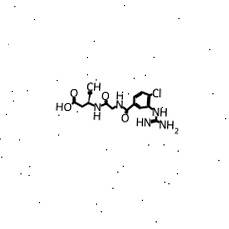 C#C[C@H](CC(=O)O)NC(=O)CNC(=O)c1ccc(Cl)c(NC(=N)N)c1